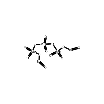 [O]=[Bi][O][Mo](=[O])(=[O])[O][Mo](=[O])(=[O])[O][Mo](=[O])(=[O])[O][Bi]=[O]